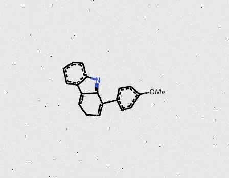 COc1ccc(C2=CCC=C3C2=Nc2ccccc23)cc1